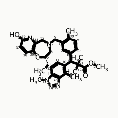 CC[C@H]1CN(Cc2cc(C(c3ccc4c(nnn4C)c3C)C(C)(C)C(=O)OC)ccc2C)Cc2nc(O)ccc2O1